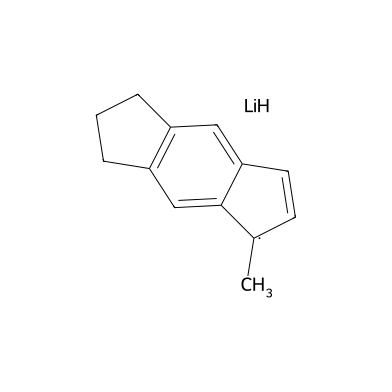 C[C]1C=Cc2cc3c(cc21)CCC3.[LiH]